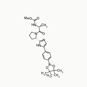 COC(=O)N[C@@H](C)C(=O)N1CCC[C@H]1c1ncc(-c2ccc(B3OC(C)(C)C(C)(C)O3)cc2)[nH]1